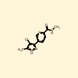 CNC(=O)c1ccc(-c2n[nH]c(C)c2Cl)cn1